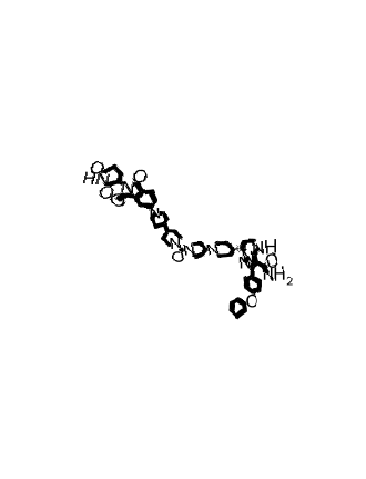 NC(=O)c1c(-c2ccc(Oc3ccccc3)cc2)nn2c1NCC[C@H]2C1CCN(C2CCN(C(=O)N3CCC(C4CCN(c5ccc6c(c5)C(=O)N(C5CCC(=O)NC5=O)C6=O)CC4)CC3)CC2)CC1